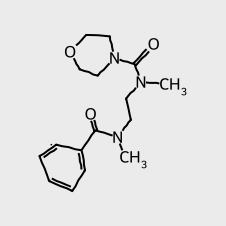 CN(CCN(C)C(=O)N1CCOCC1)C(=O)c1[c]cccc1